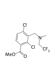 COC(=O)c1ccc(Cl)c(CN(C)CC(F)(F)F)c1Cl